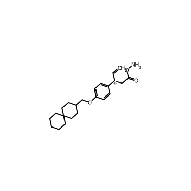 C=C[C@@H](CC(=O)ON)c1ccc(OCC2CCC3(CCCCC3)CC2)cc1